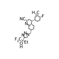 CCC(O)(c1cn(Cc2ccc3c(-c4ccc(F)c(C)c4)cc(C#N)nc3c2)nn1)C(F)(F)F